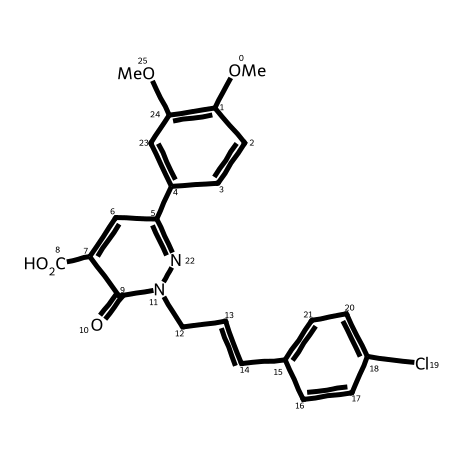 COc1ccc(-c2cc(C(=O)O)c(=O)n(C/C=C/c3ccc(Cl)cc3)n2)cc1OC